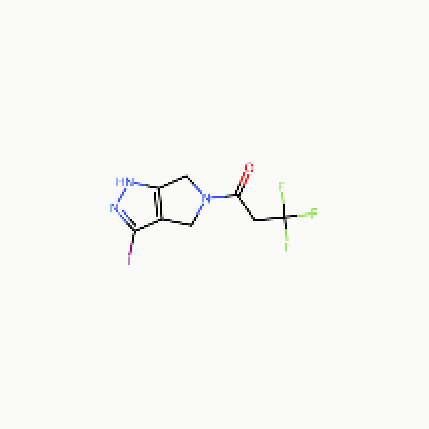 O=C(CC(F)(F)F)N1Cc2[nH]nc(I)c2C1